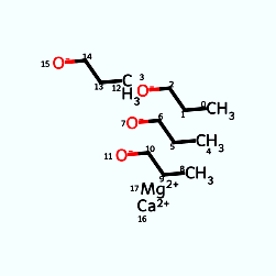 CCC[O-].CCC[O-].CCC[O-].CCC[O-].[Ca+2].[Mg+2]